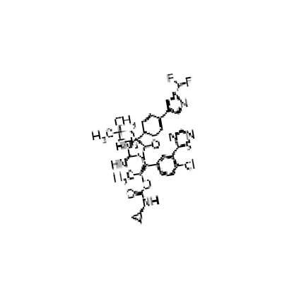 C/C(OC(=O)NC1CC1)=C(/c1ccc(Cl)c(-c2ncns2)c1)N1C(=N)N[C@](CC(C)(C)C)(C2C=CC(c3cnn(C(F)F)c3)=CC2)C1=O